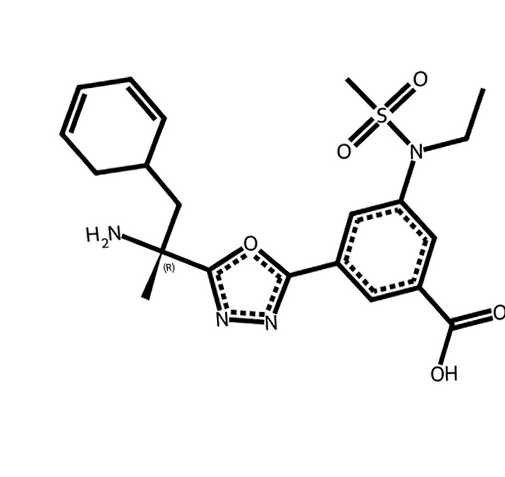 CCN(c1cc(C(=O)O)cc(-c2nnc([C@](C)(N)CC3C=CC=CC3)o2)c1)S(C)(=O)=O